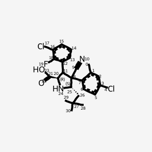 Cc1cc(Cl)ccc1C1(C#N)C(c2cccc(Cl)c2F)[C@H](C(=O)O)N[C@H]1CC(C)(C)C